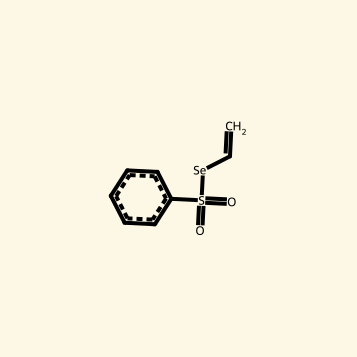 C=C[Se]S(=O)(=O)c1ccccc1